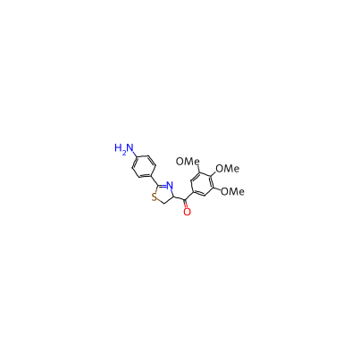 COc1cc(C(=O)C2CSC(c3ccc(N)cc3)=N2)cc(OC)c1OC